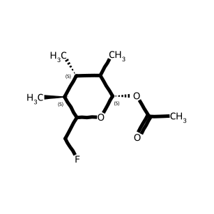 CC(=O)O[C@@H]1OC(CF)[C@@H](C)[C@H](C)C1C